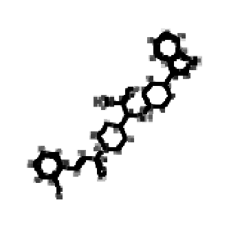 NC(=O)C(NC1CCC(c2c[nH]c3ccccc23)CC1)C1CCN(C(=O)C=Cc2ccccc2F)CC1